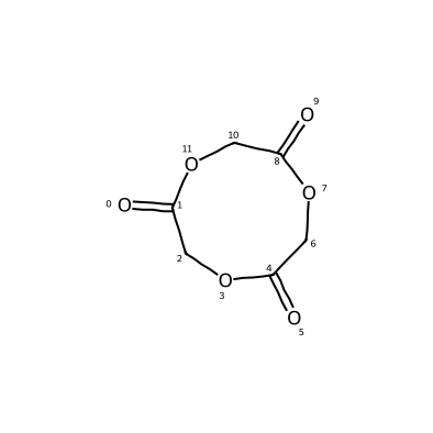 O=C1COC(=O)COC(=O)CO1